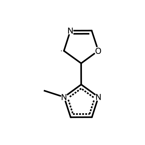 Cn1ccnc1C1[CH]N=CO1